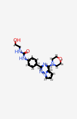 O=C(NCCO)Nc1ccc(-c2nc(N3CCOCC3)c3cccn3n2)cc1